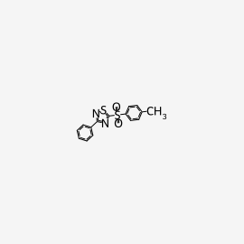 Cc1ccc(S(=O)(=O)c2nc(-c3ccccc3)ns2)cc1